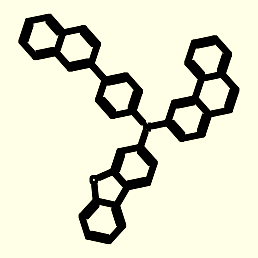 c1ccc2cc(-c3ccc(N(c4ccc5c(c4)oc4ccccc45)c4ccc5ccc6ccccc6c5c4)cc3)ccc2c1